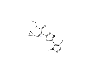 CCOC(=O)/C(=C\C1CC1)c1nnc(-c2c(F)cnn2C)[nH]1